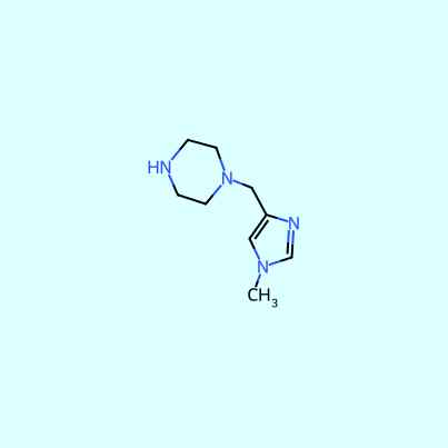 Cn1cnc(CN2CCNCC2)c1